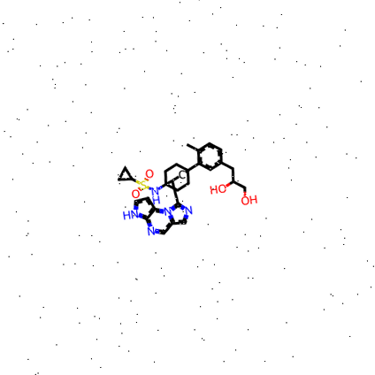 Cc1ccc(CC(O)CO)cc1C12CCC(NS(=O)(=O)C3CC3)(CC1)C(c1ncc3cnc4[nH]ccc4n13)C2